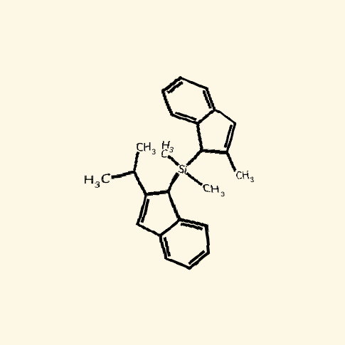 CC1=Cc2ccccc2C1[Si](C)(C)C1C(C(C)C)=Cc2ccccc21